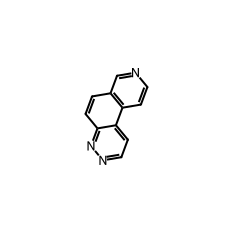 c1cc2c(ccc3nnccc32)cn1